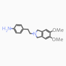 COc1cc2c(cc1OC)CN(CCc1ccc(N)cc1)C2